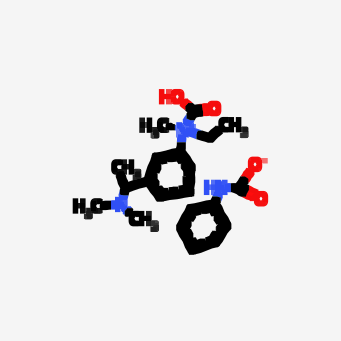 CC[N@+](C)(C(=O)O)c1cccc(C(C)N(C)C)c1.O=C([O-])Nc1ccccc1